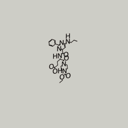 CCCNc1cc(C(=O)NC(CCC(=O)O)C(=O)N2CCN(C(=O)OCC)CC2)nc(-c2ccccc2)n1